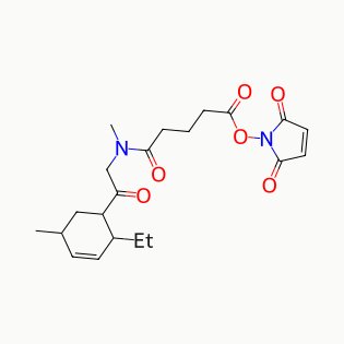 CCC1C=CC(C)CC1C(=O)CN(C)C(=O)CCCC(=O)ON1C(=O)C=CC1=O